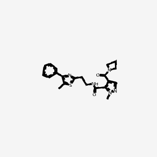 Cc1sc(CCNC(=O)c2c(C(=O)N3CCC3)cnn2C)nc1-c1ccccc1